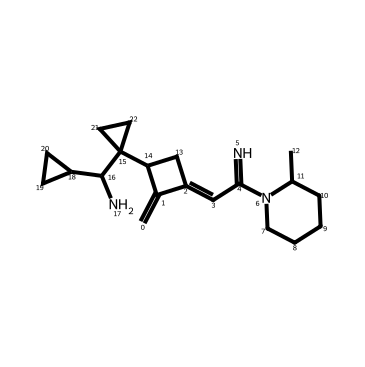 C=C1/C(=C/C(=N)N2CCCCC2C)CC1C1(C(N)C2CC2)CC1